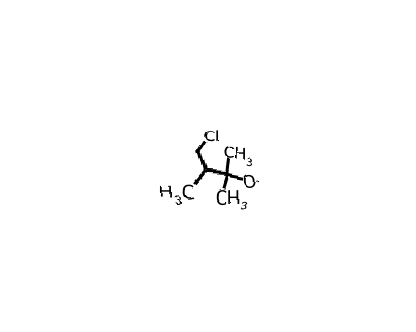 CC(CCl)C(C)(C)[O]